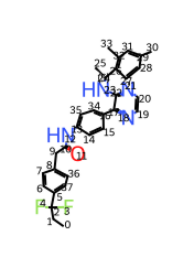 CCC(F)(F)c1ccc(CC(=O)Nc2ccc(-c3nccnc3N[C@@H](C)c3ccc(C)cc3C)cc2)cc1